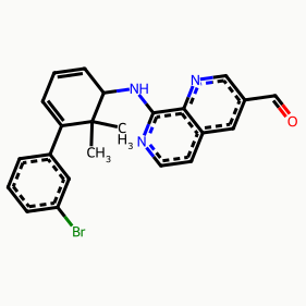 CC1(C)C(c2cccc(Br)c2)=CC=CC1Nc1nccc2cc(C=O)cnc12